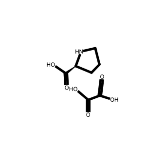 O=C(O)C(=O)O.O=C(O)[C@@H]1CCCN1